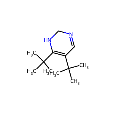 CC(C)(C)C1=C(C(C)(C)C)NCN=C1